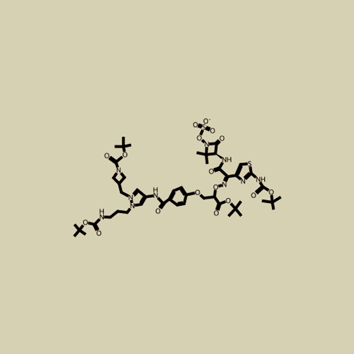 CC(C)(C)OC(=O)NCCCn1cc(NC(=O)c2ccc(OCC(O/N=C(\C(=O)N[C@@H]3C(=O)N(OS(=O)(=O)[O-])C3(C)C)c3csc(NC(=O)OC(C)(C)C)n3)C(=O)OC(C)(C)C)cc2)c[n+]1CC1CN(C(=O)OC(C)(C)C)C1